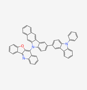 c1ccc(-n2c3ccccc3c3cc(-c4ccc5c(c4)c4cc6ccccc6cc4n5-c4c5ccccc5nc5c4oc4ccccc45)ccc32)cc1